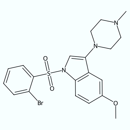 COc1ccc2c(c1)c(N1CCN(C)CC1)cn2S(=O)(=O)c1ccccc1Br